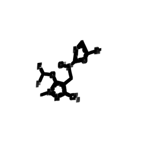 Cn1nc(C(F)(F)F)c(C[S+]([O-])c2ncc(Br)o2)c1OC(F)F